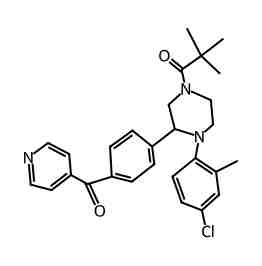 Cc1cc(Cl)ccc1N1CCN(C(=O)C(C)(C)C)CC1c1ccc(C(=O)c2ccncc2)cc1